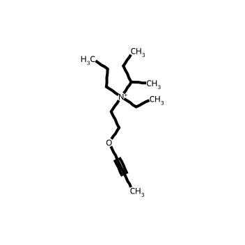 CC#COCC[N+](CC)(CCC)C(C)CC